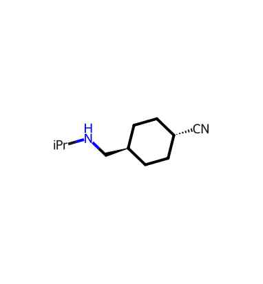 CC(C)NC[C@H]1CC[C@H](C#N)CC1